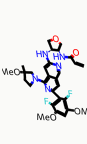 C=CC(=O)N[C@H]1COC[C@H]1Nc1cc2c(N3CCC(C)(OC)C3)nc(-c3c(F)c(OC)cc(OC)c3F)cc2cn1